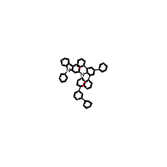 c1ccc(-c2cccc(-c3ccc(N(c4ccc5c6ccccc6n(-c6ccccc6)c5c4)c4c(-c5ccccc5)cc(-c5ccccc5)cc4-c4ccccc4)cc3)c2)cc1